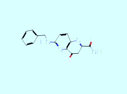 NC(=O)C1=Nc2ccc(NCc3ccccc3)nc2C(=O)C1